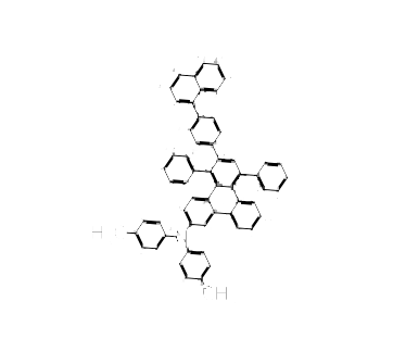 Cc1ccc(N(c2ccc(C)cc2)c2ccc3c(c2)c2ccccc2c2c(-c4ccccc4)cc(-c4ccc(-c5cccc6ccccc56)cc4)c(-c4ccccc4)c32)cc1